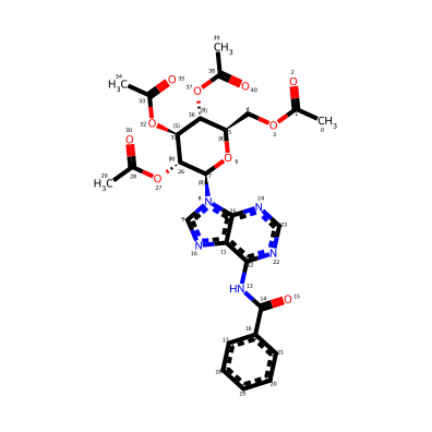 CC(=O)OC[C@H]1O[C@@H](n2cnc3c(NC(=O)c4ccccc4)ncnc32)[C@H](OC(C)=O)[C@@H](OC(C)=O)[C@@H]1OC(C)=O